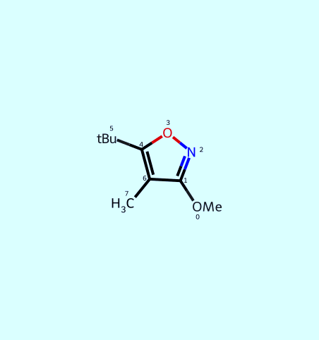 COc1noc(C(C)(C)C)c1C